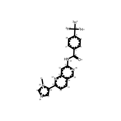 [2H]C([2H])([2H])c1ccc(C(=O)Nc2cc3nc(-c4cncn4C)ccc3cn2)cc1